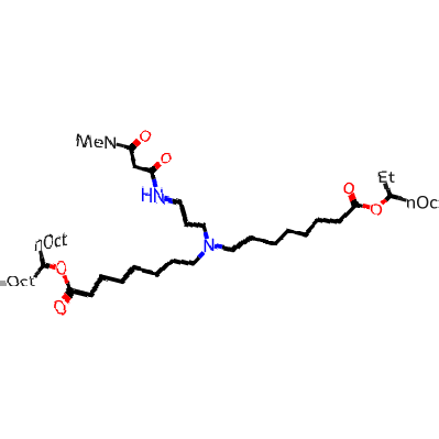 CCCCCCCCC(CC)OC(=O)CCCCCCCN(CCCCCCCC(=O)OC(CCCCCCCC)CCCCCCCC)CCCNC(=O)CC(=O)NC